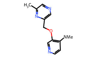 CNc1ccncc1OCc1cncc(C)n1